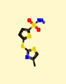 Cc1csc(Sc2ccc(S(N)(=O)=O)s2)n1